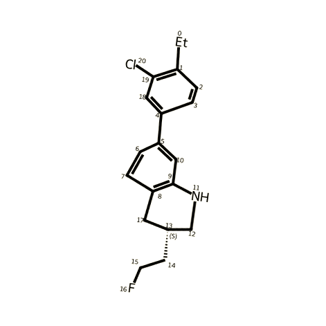 CCc1ccc(-c2ccc3c(c2)NC[C@H](CCF)C3)cc1Cl